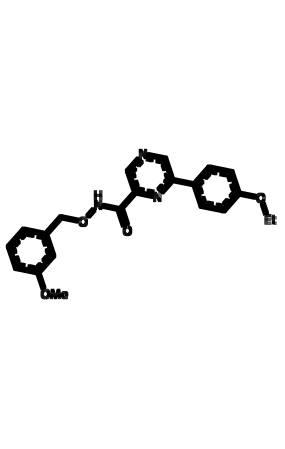 CCOc1ccc(-c2cncc(C(=O)NOCc3cccc(OC)c3)n2)cc1